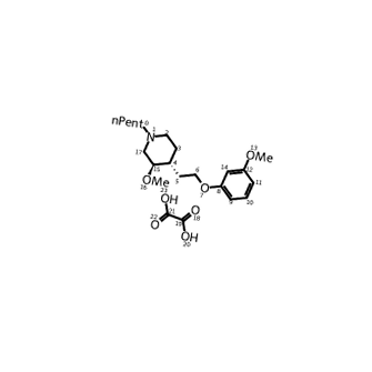 CCCCCN1CC[C@H](CCOc2cccc(OC)c2)[C@@H](OC)C1.O=C(O)C(=O)O